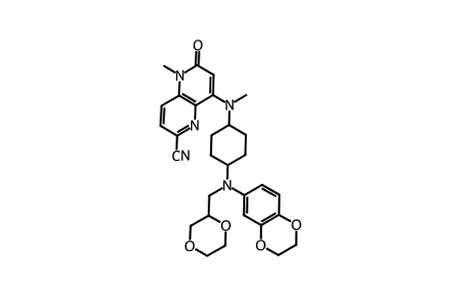 CN(c1cc(=O)n(C)c2ccc(C#N)nc12)C1CCC(N(CC2COCCO2)c2ccc3c(c2)OCCO3)CC1